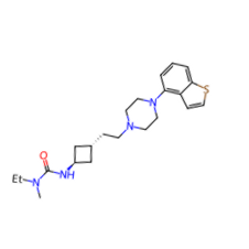 CCN(C)C(=O)N[C@H]1C[C@H](CCN2CCN(c3cccc4sccc34)CC2)C1